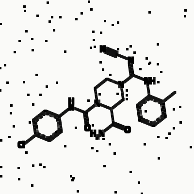 Cc1ccccc1N/C(=N/C#N)N1CCN(C(=O)Nc2ccc(Cl)cc2)C(C(N)=O)C1